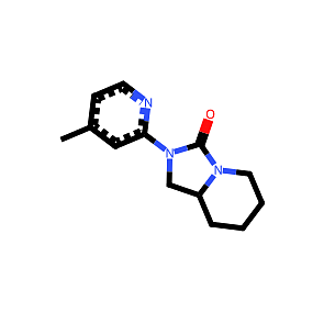 Cc1ccnc(N2CC3CCCCN3C2=O)c1